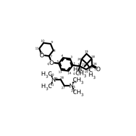 CC1(c2ccc(OC3CCCCO3)cc2)CC(=O)C2CC1C2(C)C.CN(C)CCN(C)C